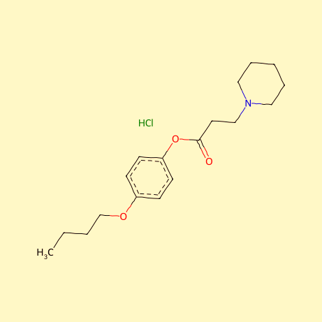 CCCCOc1ccc(OC(=O)CCN2CCCCC2)cc1.Cl